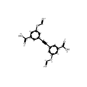 O=COc1cc(C#Cc2cc(OC=O)cc(C(=O)O)c2)cc(C(=O)O)c1